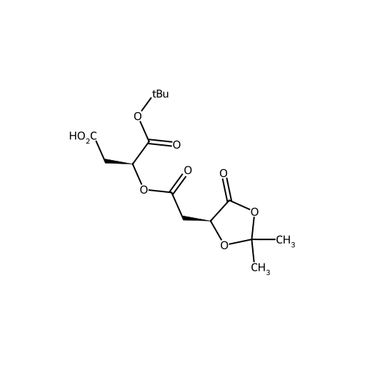 CC(C)(C)OC(=O)[C@H](CC(=O)O)OC(=O)C[C@@H]1OC(C)(C)OC1=O